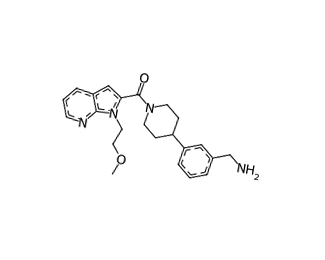 COCCn1c(C(=O)N2CCC(c3cccc(CN)c3)CC2)cc2cccnc21